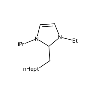 CCCCCCCCC1N(CC)C=CN1C(C)C